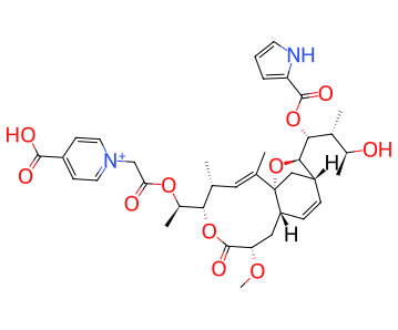 CO[C@H]1C[C@H]2C=C[C@@H]3C[C@]2(O[C@H]3[C@H](OC(=O)c2ccc[nH]2)[C@H](C)[C@H](C)O)/C(C)=C/[C@@H](C)[C@@H]([C@@H](C)OC(=O)C[n+]2ccc(C(=O)O)cc2)OC1=O